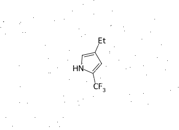 CCc1c[nH]c(C(F)(F)F)c1